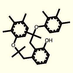 Cc1ccc(OC(C)(C)Cc2cccc(O)c2CC(C)(C)Oc2ccc(C)c(C)c2C)c(C)c1C